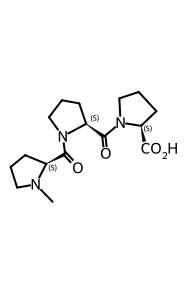 CN1CCC[C@H]1C(=O)N1CCC[C@H]1C(=O)N1CCC[C@H]1C(=O)O